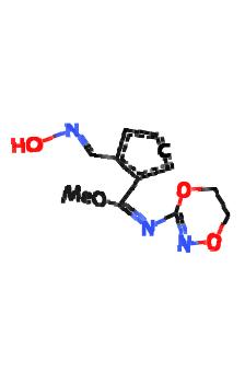 COC(=NC1=NOCCO1)c1ccccc1C=NO